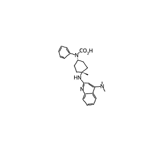 CN(C)c1cc(N[C@]2(C)CC[C@H](N(C(=O)O)c3ccccc3)CC2)nc2ccccc12